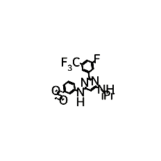 CC(C)Nc1cc(Nc2cccc(S(C)(=O)=O)c2)nc(-c2cc(F)cc(C(F)(F)F)c2)n1